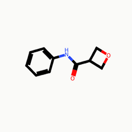 O=C(Nc1ccccc1)C1COC1